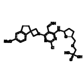 COc1ccc2c(c1)CCC21CN(c2nc(Cl)nc(NC3CCC(COCP(=O)(O)O)O3)c2C=N)C1